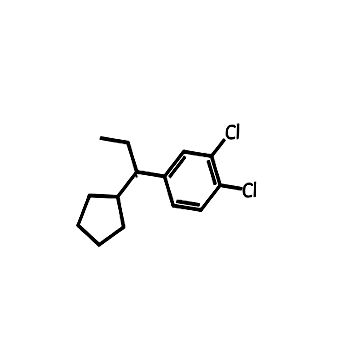 CC[C](c1ccc(Cl)c(Cl)c1)C1CCCC1